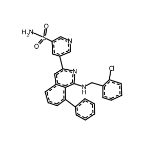 NS(=O)(=O)c1cncc(-c2cc3cccc(-c4ccccc4)c3c(NCc3ccccc3Cl)n2)c1